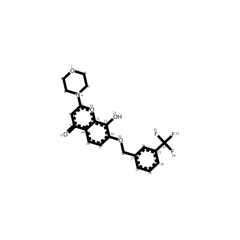 O=c1cc(N2CCOCC2)oc2c(O)c(OCc3cccc(C(F)(F)F)c3)ccc12